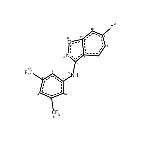 Fc1ccc2c(Nc3cc(C(F)(F)F)cc(C(F)(F)F)c3)noc2c1